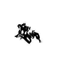 O=C(c1c(F)ccc(NSc2cc(F)ccc2F)c1F)c1c[nH]c2ncnc(NCC3CC3)c12